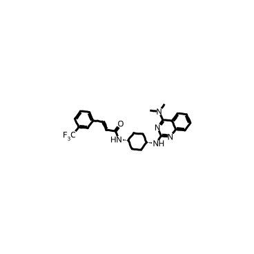 CN(C)c1nc(N[C@H]2CC[C@@H](NC(=O)/C=C/c3cccc(C(F)(F)F)c3)CC2)nc2ccccc12